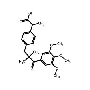 COc1cc(C(=O)C(C)(C)Cc2ccc(C(C)C(=O)O)cc2)cc(OC)c1OC